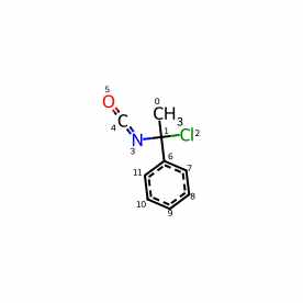 CC(Cl)(N=C=O)c1ccccc1